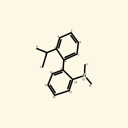 CC(C)c1ccccc1-c1ccccc1N(C)C